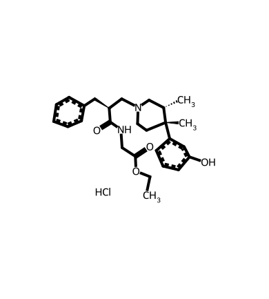 CCOC(=O)CNC(=O)[C@@H](Cc1ccccc1)CN1CC[C@@](C)(c2cccc(O)c2)[C@@H](C)C1.Cl